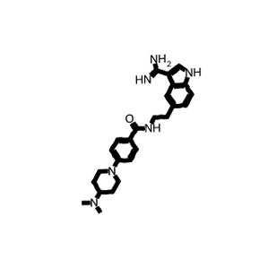 CN(C)C1CCN(c2ccc(C(=O)NCCc3ccc4[nH]cc(C(=N)N)c4c3)cc2)CC1